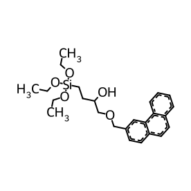 CCO[Si](CCC(O)COCc1ccc2ccc3ccccc3c2c1)(OCC)OCC